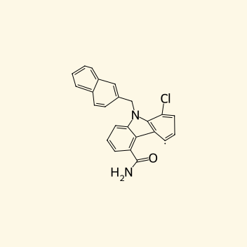 NC(=O)c1cccc2c1c1[c]ccc(Cl)c1n2Cc1ccc2ccccc2c1